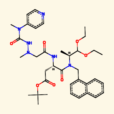 CCOC(OCC)[C@H](C)N(Cc1cccc2ccccc12)C(=O)[C@H](CC(=O)OC(C)(C)C)NC(=O)CN(C)NC(=O)N(C)c1ccncc1